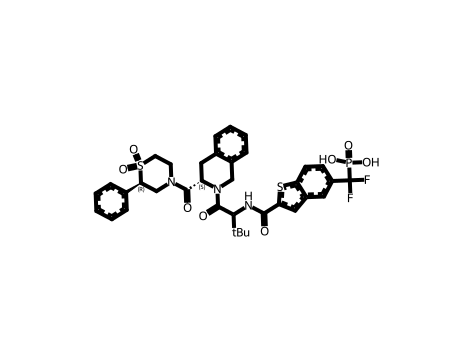 CC(C)(C)C(NC(=O)c1cc2cc(C(F)(F)P(=O)(O)O)ccc2s1)C(=O)N1Cc2ccccc2C[C@H]1C(=O)N1CCS(=O)(=O)[C@H](c2ccccc2)C1